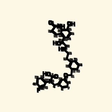 O=C(O)N(Cc1cccc(OCc2cccc(CCNC[C@H](O)c3ccc(O)c4[nH]c(=O)ccc34)c2)c1)c1cccc(F)c1